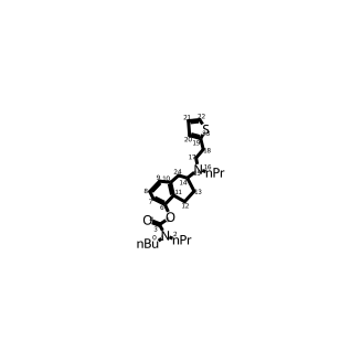 CCCCN(CCC)C(=O)Oc1cccc2c1CCC(N(CCC)CCc1cccs1)C2